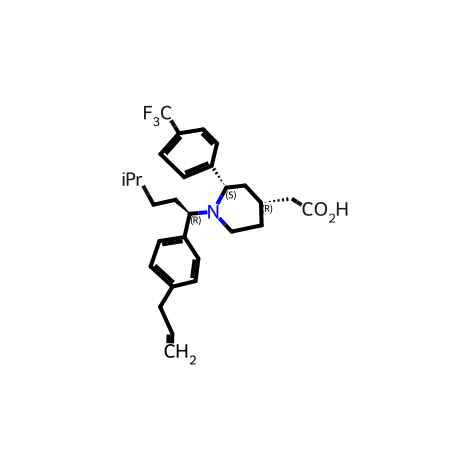 C=CCc1ccc([C@@H](CCC(C)C)N2CC[C@@H](CC(=O)O)C[C@H]2c2ccc(C(F)(F)F)cc2)cc1